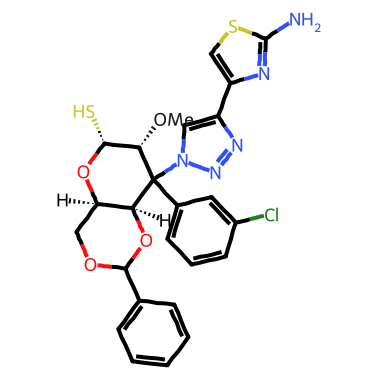 CO[C@H]1[C@@H](S)O[C@@H]2COC(c3ccccc3)O[C@@H]2C1(c1cccc(Cl)c1)n1cc(-c2csc(N)n2)nn1